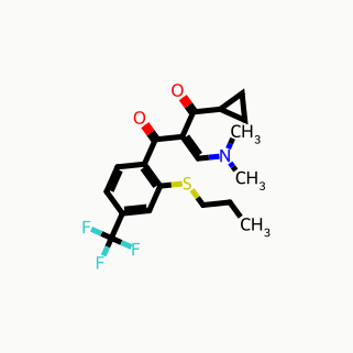 CCCSc1cc(C(F)(F)F)ccc1C(=O)C(=CN(C)C)C(=O)C1CC1